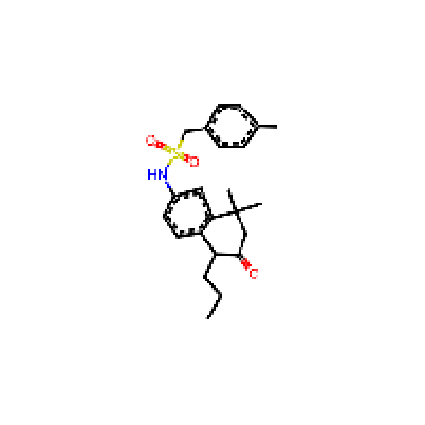 CCCC1C(=O)CC(C)(C)c2cc(NS(=O)(=O)Cc3ccc(C)cc3)ccc21